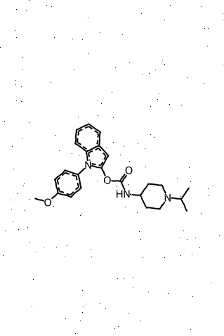 COc1ccc(-n2c(OC(=O)NC3CCN(C(C)C)CC3)cc3ccccc32)cc1